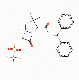 CC1(C)S[C@@H]2[C@@H](OS(=O)(=O)C(F)(F)F)C(=O)N2[C@H]1C(=O)OC(c1ccccc1)c1ccccc1